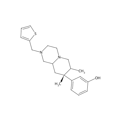 CC1CN2CCN(Cc3cccs3)CC2C[C@@]1(C)c1cccc(O)c1